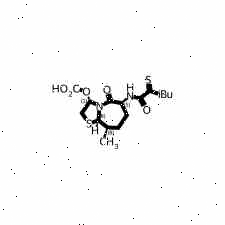 CCC(C)C(=S)C(=O)N[C@H]1CC[C@@H](C)[C@H]2SC[C@H](OC(=O)O)N2C1=O